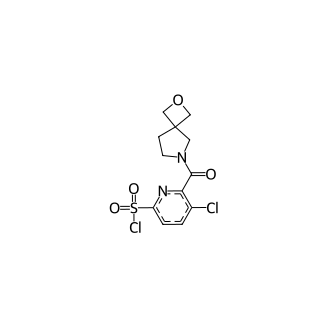 O=C(c1nc(S(=O)(=O)Cl)ccc1Cl)N1CCC2(COC2)C1